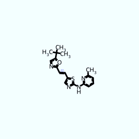 Cc1cccc(Nc2ncc(/C=C/c3ncc(C(C)(C)C)o3)s2)n1